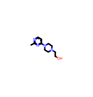 Cc1nccc(N2CCN(CCO)CC2)n1